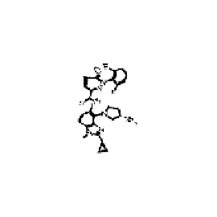 Cn1c(C2CC2)nc2c(N3CC[C@H](N)C3)c(NC(=O)c3ccc(=O)n(-c4c(F)cccc4F)n3)ccc21